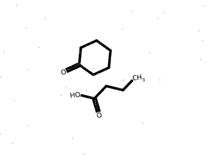 CCCC(=O)O.O=C1CCCCC1